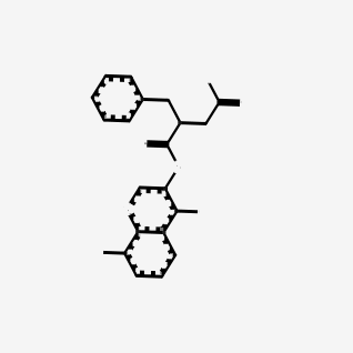 C=C(Cl)CC(Cc1ccccc1)C(=O)Nc1cnc2c(F)cccc2c1C